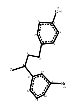 [CH2]C(CCc1ccc(O)cc1)c1cccc(Br)c1